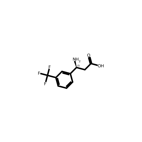 N[C@@H](CC(=O)O)c1cccc(C(F)(F)F)c1